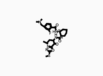 CSc1nnc(C(=O)C(CC(C)C)NC(=O)[C@@H]2CCCC[C@@H]2NC(=O)c2ccc(CN(C)C)cc2F)o1